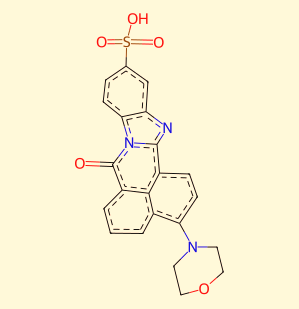 O=c1c2cccc3c(N4CCOCC4)ccc(c32)c2nc3cc(S(=O)(=O)O)ccc3n12